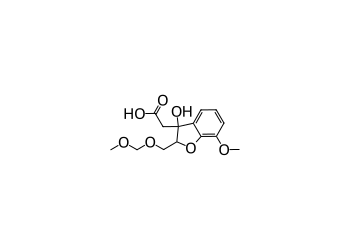 COCOCC1Oc2c(OC)cccc2C1(O)CC(=O)O